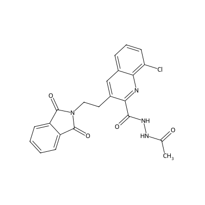 CC(=O)NNC(=O)c1nc2c(Cl)cccc2cc1CCN1C(=O)c2ccccc2C1=O